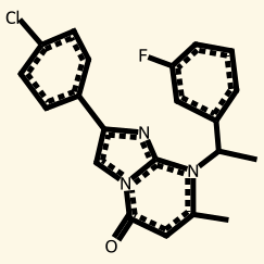 Cc1cc(=O)n2cc(-c3ccc(Cl)cc3)nc2n1C(C)c1cccc(F)c1